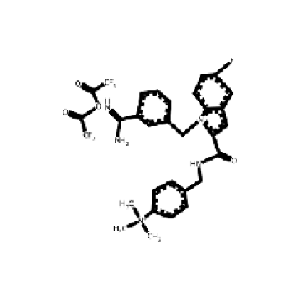 C[N+](C)(C)c1ccc(CNC(=O)c2cc3cc(F)ccc3n2Cc2cccc(C(=N)N)c2)cc1.O=C(OC(=O)C(F)(F)F)C(F)(F)F